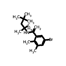 C=C(NC(C)(C)CC(C)(C)C)c1cc(Br)cc(C)c1C